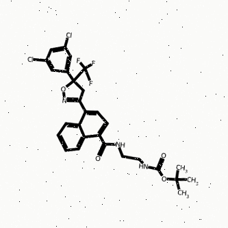 CC(C)(C)OC(=O)NCCNC(=O)c1ccc(C2=NOC(c3cc(Cl)cc(Cl)c3)(C(F)(F)F)C2)c2ccccc12